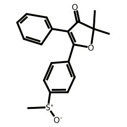 C[S+]([O-])c1ccc(C2=C(c3ccccc3)C(=O)C(C)(C)O2)cc1